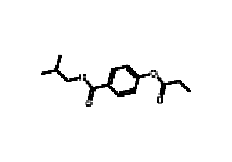 CCC(=O)Oc1ccc(C(=O)OCC(C)C)cc1